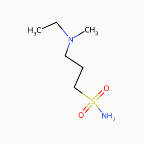 CCN(C)CCCS(N)(=O)=O